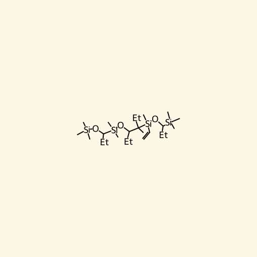 C=C[Si](C)(OC(CC)[Si](C)(C)C)C(C)(CC)C(CC)O[Si](C)(C)C(CC)O[Si](C)(C)C